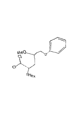 CCCCCCC(CC(COc1ccccc1)OC)C(Cl)Cl